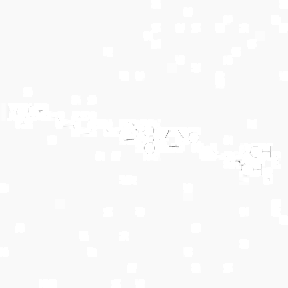 C=CCCC[C@H]1CC[C@H](CCc2ccc(OC(=O)c3ccc(OCCCCC[C@@H](C)CC)cc3)cc2)CC1